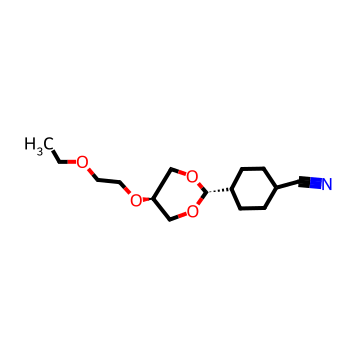 CCOCCO[C@H]1CO[C@H](C2CCC(C#N)CC2)OC1